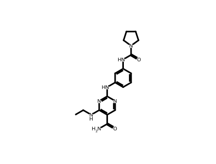 CCNc1nc(Nc2cccc(NC(=O)N3CCCC3)c2)ncc1C(N)=O